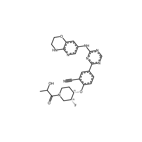 CC(O)C(=O)N1CC[C@H](Oc2ccc(-c3ncnc(Nc4cnc5c(c4)OCCN5)n3)cc2C#N)[C@H](F)C1